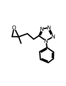 CC1(CCc2nnnn2-c2ccccc2)CO1